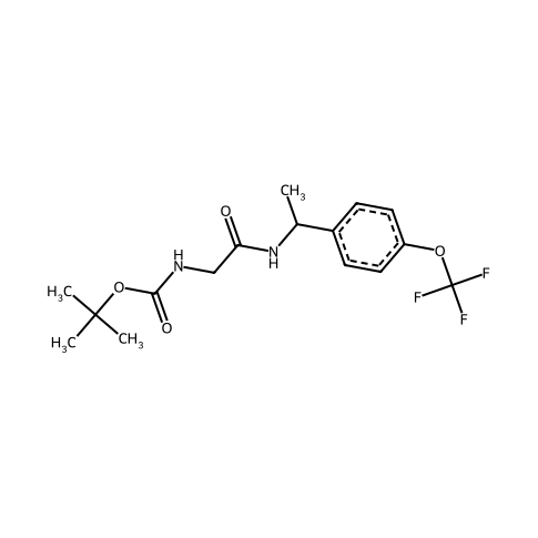 CC(NC(=O)CNC(=O)OC(C)(C)C)c1ccc(OC(F)(F)F)cc1